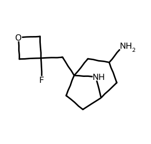 NC1CC2CCC(CC3(F)COC3)(C1)N2